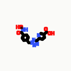 O=C(O)c1ccc(-c2nnn(Cc3ccc(C(=O)NO)cc3)n2)nc1